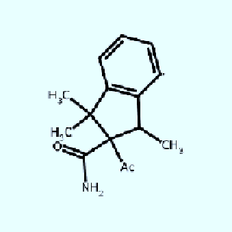 CC(=O)C1(C(N)=O)C(C)c2[c]cccc2C1(C)C